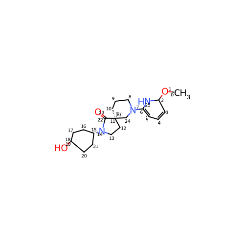 COC1C=C[C]=C(N2CCC[C@@]3(CCN([C@H]4CC[C@H](O)CC4)C3=O)C2)N1